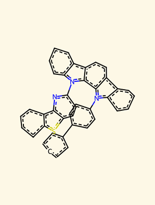 c1ccc(-c2ccc(-n3c4ccccc4c4ccc5c6ccccc6n(-c6ccc7sc8ccccc8c7n6)c5c43)cc2)cc1